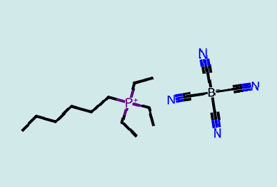 CCCCCC[P+](CC)(CC)CC.N#C[B-](C#N)(C#N)C#N